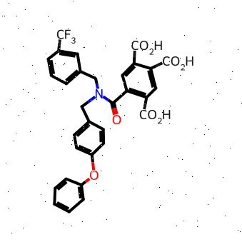 O=C(O)c1cc(C(=O)O)c(C(=O)N(Cc2ccc(Oc3ccccc3)cc2)Cc2cccc(C(F)(F)F)c2)cc1C(=O)O